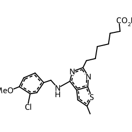 COc1ccc(CNc2nc(CCCCCCC(=O)O)nc3sc(C)cc23)cc1Cl